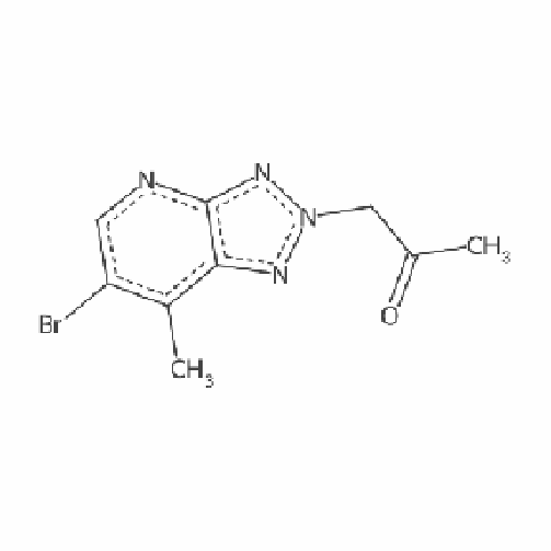 CC(=O)Cn1nc2ncc(Br)c(C)c2n1